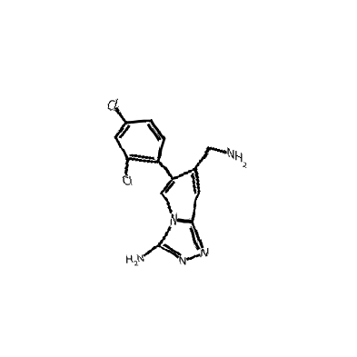 NCc1cc2nnc(N)n2cc1-c1ccc(Cl)cc1Cl